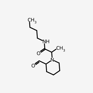 CCCCNC(=O)C(C)N1CCCCC1C=O